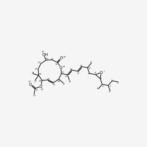 CCC(C)C(C)C1OC1CC(C)/C=C/C=C(\C)C1OC(=O)CC(O)CCC(C)(C)C(OC(C)=O)/C=C/C1C